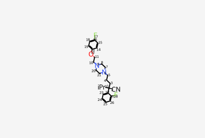 CC(C)C(C#N)(CCCN1CCN(CCOc2ccc(F)cc2)CC1)c1ccccc1F